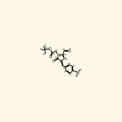 CN(C)c1ccc(/C=C2\N=C(C=O)N(CC(=O)OC(C)(C)C)C2=O)cc1